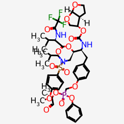 COc1ccc(S(=O)(=O)N(CC(C)C)C[C@@H](OC(=O)[C@@H](NC(=O)C(F)(F)F)C(C)C)[C@H](Cc2ccc(OCP(=O)(Oc3ccccc3)O[C@@H](C)C=O)cc2)NC(=O)O[C@H]2CO[C@H]3OCC[C@H]32)cc1